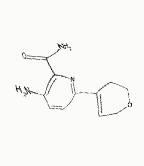 NC(=O)c1nc(C2=CCOCC2)ccc1N